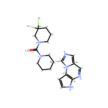 O=C(N1CCC[C@@H](c2ncc3cnc4[nH]ccc4n23)C1)N1CCCC(F)(F)C1